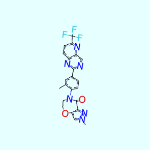 Cc1cc(-c2ncc3nc(C(F)(F)F)ccc3n2)ccc1N1CCOc2cn(C)nc2C1=O